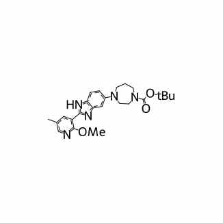 COc1ncc(C)cc1-c1nc2cc(N3CCCN(C(=O)OC(C)(C)C)CC3)ccc2[nH]1